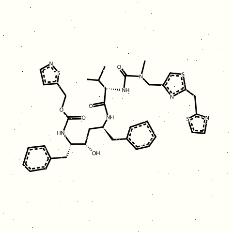 CC(C)[C@H](NC(=O)N(C)Cc1csc(Cc2nccs2)n1)C(=O)N[C@@H](Cc1ccccc1)C[C@H](O)[C@H](Cc1ccccc1)NC(=O)OCc1ccns1